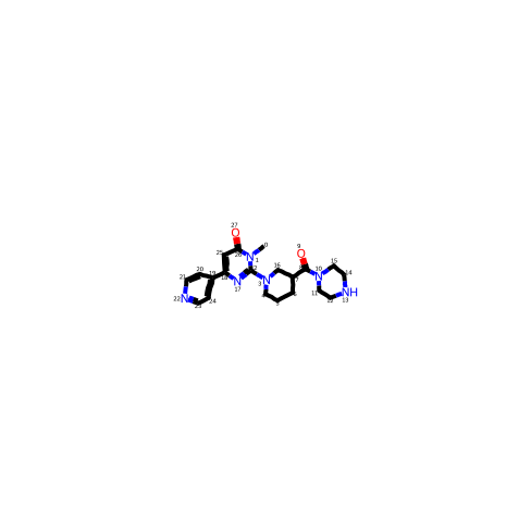 Cn1c(N2CCCC(C(=O)N3CCNCC3)C2)nc(-c2ccncc2)cc1=O